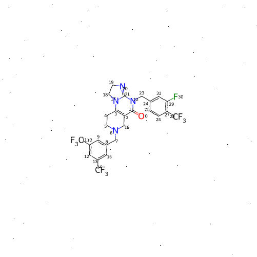 O=C1C2=C(CCN(Cc3cc(C(F)(F)F)cc(C(F)(F)F)c3)C2)N2CCN=C2N1Cc1ccc(C(F)(F)F)c(F)c1